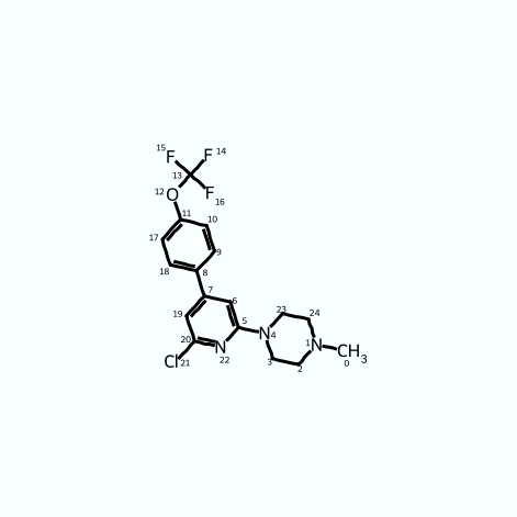 CN1CCN(c2cc(-c3ccc(OC(F)(F)F)cc3)cc(Cl)n2)CC1